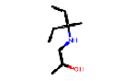 [CH2]C(CC)(CC)NCC(C)O